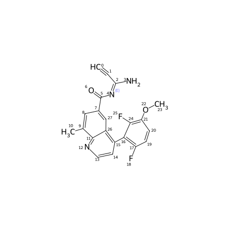 C#C/C(N)=N\C(=O)c1cc(C)c2nccc(-c3c(F)ccc(OC)c3F)c2c1